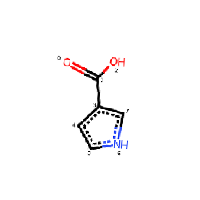 O=C(O)c1c[c][nH]c1